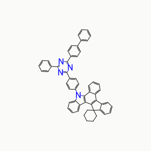 c1ccc(-c2ccc(-c3nc(-c4ccccc4)nc(-c4ccc(-n5c6ccccc6c6c7c(c8ccccc8c65)-c5ccccc5C75CCCCC5)cc4)n3)cc2)cc1